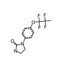 CC(F)(F)C(F)(F)Oc1ccc(N2CC[N]C2=O)cc1